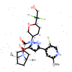 COc1cc(-c2cc(C(=O)N3[C@@H]4CC[C@H]3C[C@H](C(=O)NC3CCC(C(F)(F)CO)OC3)C4)n[nH]2)c(F)cn1